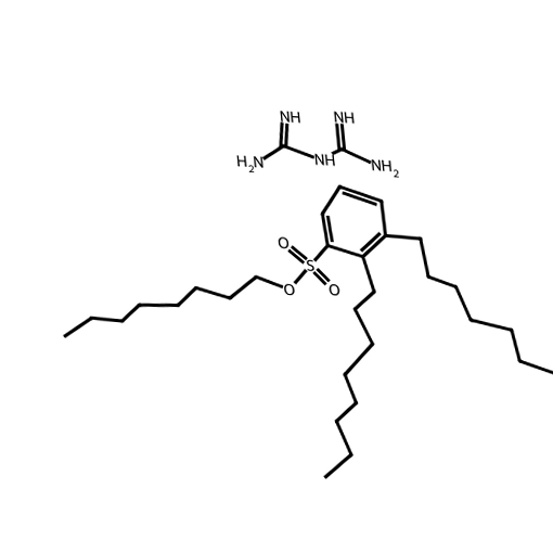 CCCCCCCCOS(=O)(=O)c1cccc(CCCCCCCC)c1CCCCCCCC.N=C(N)NC(=N)N